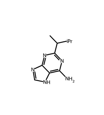 CC(C)C(C)c1nc(N)c2[nH]cnc2n1